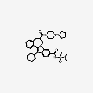 CN(C)S(=O)(=O)NC(=O)c1ccc2c(C3CCCCC3)c3n(c2c1)CC(C(=O)N1CCN(N2CCCC2)CC1)Cc1ccccc1-3